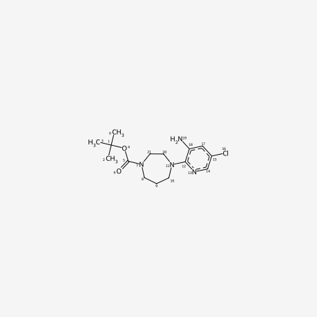 CC(C)(C)OC(=O)N1CCCN(c2ncc(Cl)cc2N)CC1